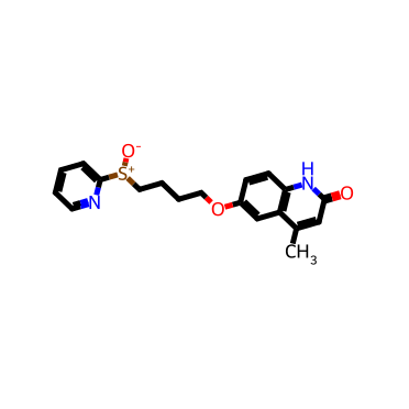 Cc1cc(=O)[nH]c2ccc(OCCCC[S+]([O-])c3ccccn3)cc12